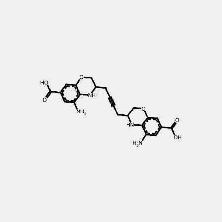 Nc1cc(C(=O)O)cc2c1NC(CC#CCC1COc3cc(C(=O)O)cc(N)c3N1)CO2